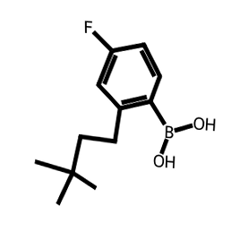 CC(C)(C)CCc1cc(F)ccc1B(O)O